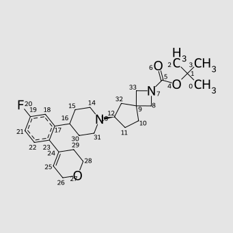 CC(C)(C)OC(=O)N1CC2(CC[C@@H](N3CCC(c4cc(F)ccc4C4=CCOCC4)CC3)C2)C1